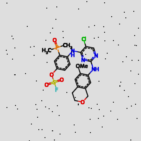 COc1cc2c(cc1Nc1ncc(Cl)c(Nc3ccc(OS(=O)(=O)F)cc3P(C)(C)=O)n1)COCC2